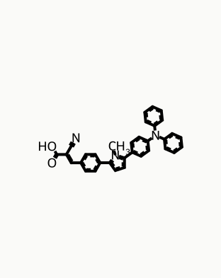 Cn1c(-c2ccc(/C=C(\C#N)C(=O)O)cc2)ccc1-c1ccc(N(c2ccccc2)c2ccccc2)cc1